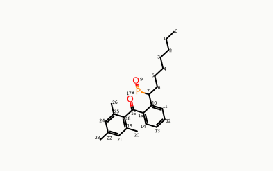 CCCCCCCC(P=O)c1ccccc1C(=O)c1c(C)cc(C)cc1C